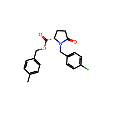 Cc1ccc(COC(=O)[C@@H]2CCC(=O)N2Cc2ccc(F)cc2)cc1